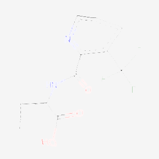 CCC(NC(=O)c1ncccc1C(F)(F)F)C(=O)O